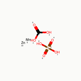 O=C(O)O.O=S(=O)(O)O.[Mn].[Zn]